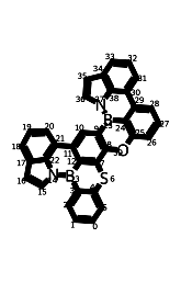 c1ccc2c(c1)Sc1c3c(cc4c1B2n1ccc2cccc-4c21)B1c2c(cccc2-c2cccc4ccn1c24)O3